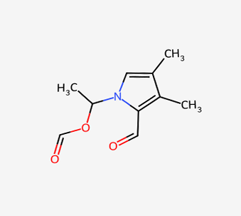 Cc1cn(C(C)OC=O)c(C=O)c1C